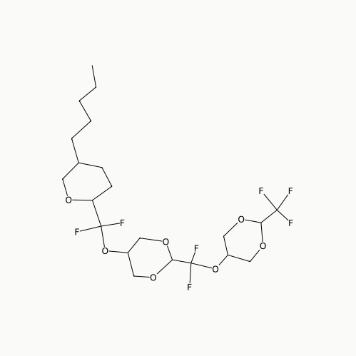 CCCCCC1CCC(C(F)(F)OC2COC(C(F)(F)OC3COC(C(F)(F)F)OC3)OC2)OC1